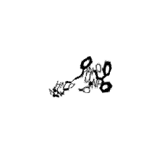 COC(=O)NC(C(=O)Nc1ccccc1CC[C@@H]1CN[C@H](Cn2ccnn2)CO1)C(c1ccccc1)c1ccccc1